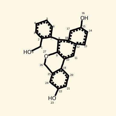 OCc1ccccc1-c1c2c(cc3ccc(O)cc13)-c1ccc(O)cc1CO2